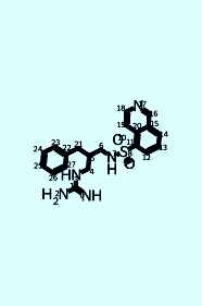 N=C(N)NCC(CNS(=O)(=O)c1cccc2cnccc12)Cc1ccccc1